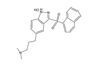 CN(C)CCCc1ccc2[nH]nc(S(=O)(=O)c3cccc4ccccc34)c2c1.Cl